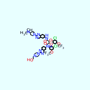 CN(C)C1CCN(c2ncc3cc(NC(=O)C(Oc4ccc(OC(F)(F)F)cc4Cl)C(Oc4ccc(OC(F)(F)F)cc4Cl)C(=O)Nc4ccc5nc(N6CCN(CCO)CC6)ncc5c4)ccc3n2)CC1